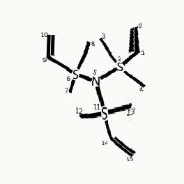 C=CS(C)(C)N(S(C)(C)C=C)S(C)(C)C=C